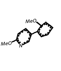 COc1ccc(-c2ccc[c]c2OC)cn1